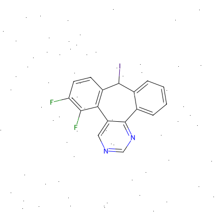 Fc1ccc2c(c1F)-c1cncnc1-c1ccccc1C2I